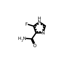 NC(=O)c1nc[nH]c1F